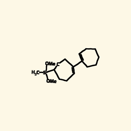 CO[Si](C)(OC)C1CCC=C(C2=CCCCCC2)CC1